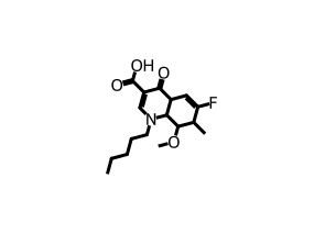 CCCCCN1C=C(C(=O)O)C(=O)C2C=C(F)C(C)C(OC)C21